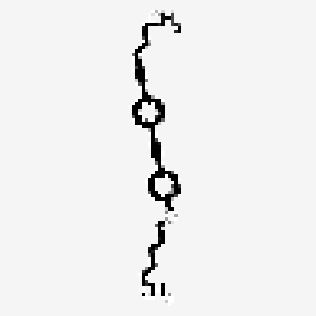 CCCCC#Cc1ccc(C#Cc2ccc(OCCCCCC)cc2)cc1